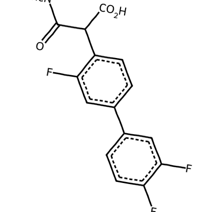 CNC(=O)C(C(=O)O)c1ccc(-c2ccc(F)c(F)c2)cc1F